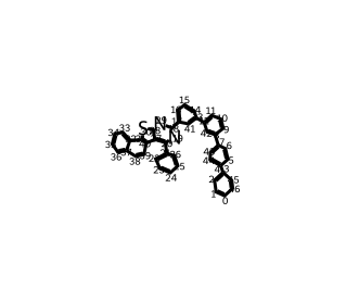 c1ccc(-c2ccc(-c3cccc(-c4cccc(-c5nc(-c6ccccc6)c6c(n5)sc5c7ccccc7ccc56)c4)c3)cc2)cc1